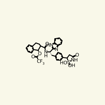 O=C1CC(c2ccc(C[C@H](NC(=O)C3CCc4ccccc4C3OC(=O)C(F)(F)F)c3nc4ccccc4[nH]3)cc2)S(O)(O)N1